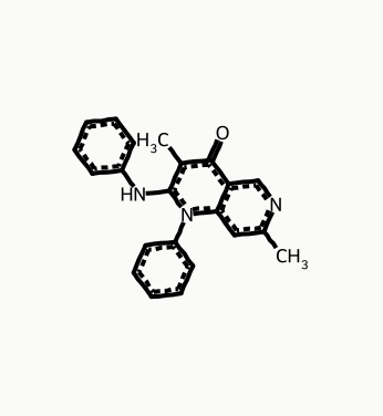 Cc1cc2c(cn1)c(=O)c(C)c(Nc1ccccc1)n2-c1ccccc1